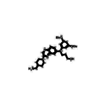 COC1=CC(N(CCCO)c2ccc3ncc(N4CCC(CN)CC4)nc3c2)=CC(OC)C1